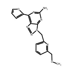 COCc1cccc(Cn2nnc3c(-c4ccco4)nc(N)nc32)n1